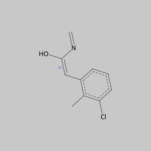 C=N/C(O)=C\c1cccc(Cl)c1C